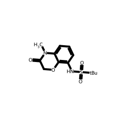 CN1C(=O)COc2c(NS(=O)(=O)C(C)(C)C)cccc21